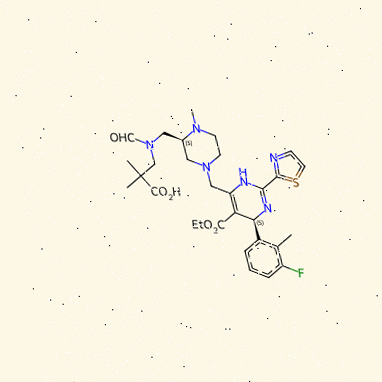 CCOC(=O)C1=C(CN2CCN(C)[C@H](CN(C=O)CC(C)(C)C(=O)O)C2)NC(c2nccs2)=N[C@H]1c1cccc(F)c1C